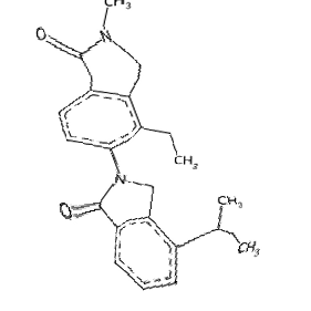 CCc1c(N2Cc3c(cccc3C(C)C)C2=O)ccc2c1CN(C)C2=O